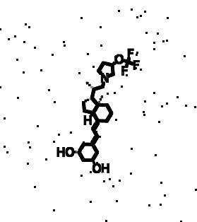 C[C@H](CN1CC[C@@H](OC(F)(F)F)C1)[C@H]1CC[C@H]2C(=CC=C3C[C@@H](O)C[C@@H](O)C3)CCC[C@]12C